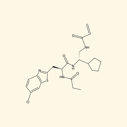 C=CC(=O)NC[C@@H](NC(=O)[C@H](Cc1nc2ccc(Cl)cc2s1)NC(=O)CC)C1CCCC1